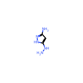 NNc1cc(N)n[nH]1